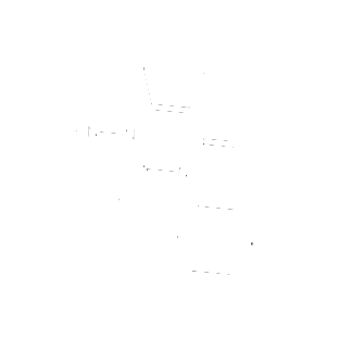 CC1CC(n2c(=O)c3c(n(N)c2=O)CCC3)CC(C)(C)C1